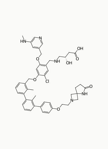 CNc1cncc(COc2cc(OCc3cccc(-c4cccc(-c5ccc(OCCN6CC7(CCC(=O)N7)C6)cc5)c4C)c3C)c(Cl)cc2CNC[C@@H](O)CC(=O)O)c1